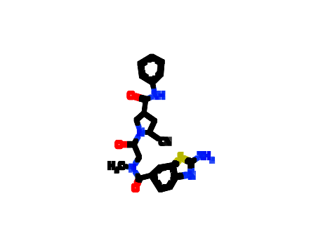 CN(CC(=O)N1CC(C(=O)Nc2ccccc2)CC1C#N)C(=O)c1ccc2nc(N)sc2c1